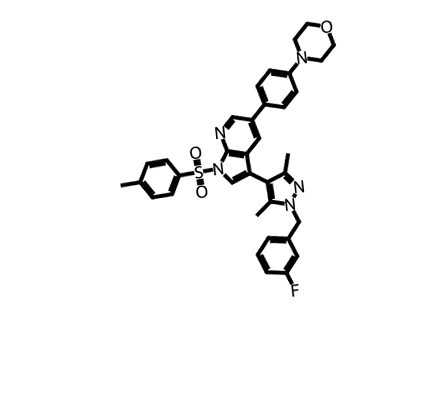 Cc1ccc(S(=O)(=O)n2cc(-c3c(C)nn(Cc4cccc(F)c4)c3C)c3cc(-c4ccc(N5CCOCC5)cc4)cnc32)cc1